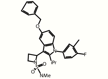 CNS(=O)(=O)N1CCC1c1c(C(C)C)n(-c2ccc(F)c(C)c2)c2ccc(OCc3ccccc3)cc12